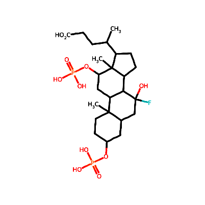 CC(CCC(=O)O)C1CCC2C3C(CC(OP(=O)(O)O)C12C)C1(C)CCC(OP(=O)(O)O)CC1CC3(O)F